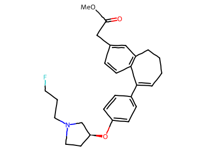 COC(=O)Cc1ccc2c(c1)CCCC=C2c1ccc(O[C@H]2CCN(CCCF)C2)cc1